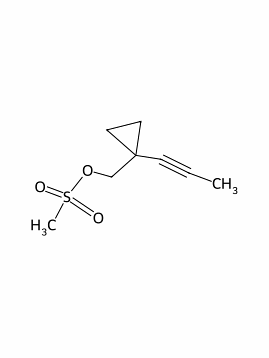 CC#CC1(COS(C)(=O)=O)CC1